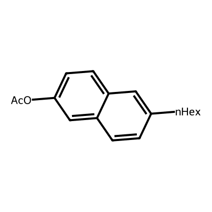 CCCCCCc1ccc2cc(OC(C)=O)ccc2c1